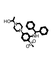 CC(O)N1CCN(c2ccc(S(C)(=O)=O)c(NC(c3ccccc3)c3ccccc3)c2)CC1